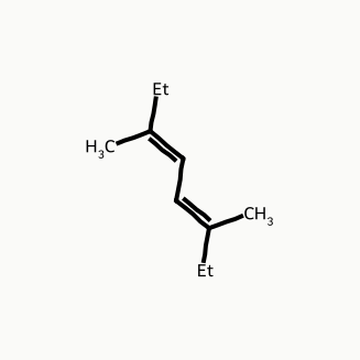 CCC(C)=CC=C(C)CC